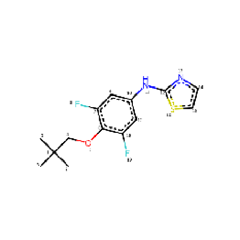 CC(C)(C)COc1c(F)cc(Nc2nccs2)cc1F